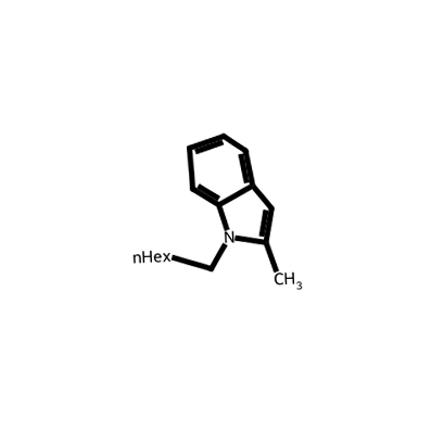 CCCCCCCn1c(C)cc2ccccc21